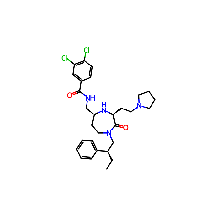 CC[C@H](CN1CC[C@@H](CNC(=O)c2ccc(Cl)c(Cl)c2)N[C@@H](CCN2CCCC2)C1=O)c1ccccc1